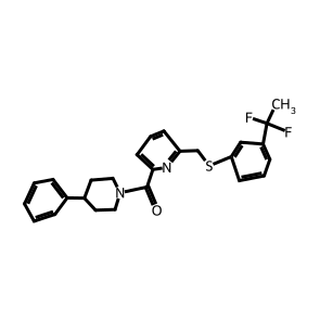 CC(F)(F)c1cccc(SCc2cccc(C(=O)N3CCC(c4ccccc4)CC3)n2)c1